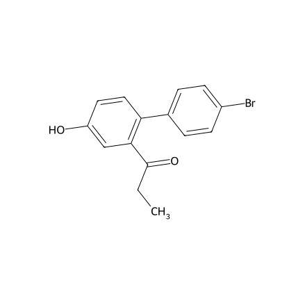 CCC(=O)c1cc(O)ccc1-c1ccc(Br)cc1